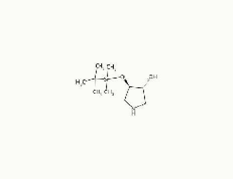 CC(C)(C)[Si](C)(C)O[C@@H]1CNC[C@H]1O